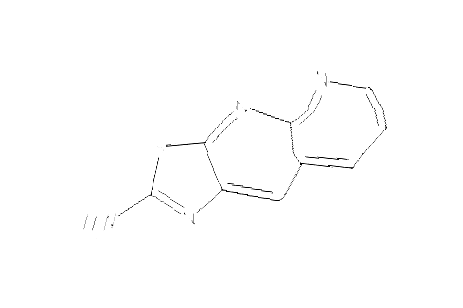 Nc1nc2cc3cccnc3nc2s1